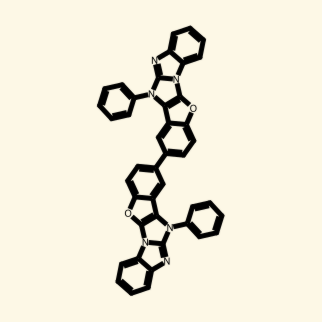 c1ccc(-n2c3c4cc(-c5ccc6oc7c(c6c5)n(-c5ccccc5)c5nc6ccccc6n75)ccc4oc3n3c4ccccc4nc23)cc1